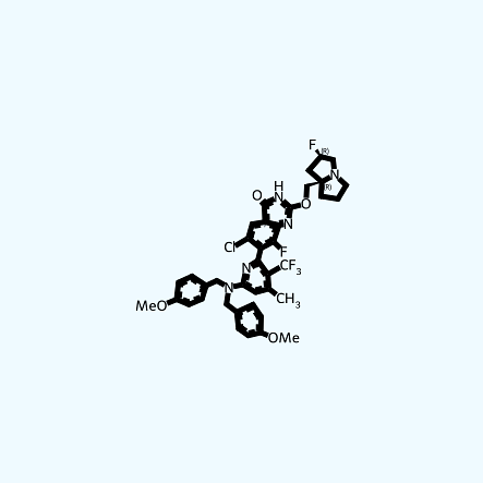 COc1ccc(CN(Cc2ccc(OC)cc2)c2cc(C)c(C(F)(F)F)c(-c3c(Cl)cc4c(=O)[nH]c(OC[C@]56CCCN5C[C@H](F)C6)nc4c3F)n2)cc1